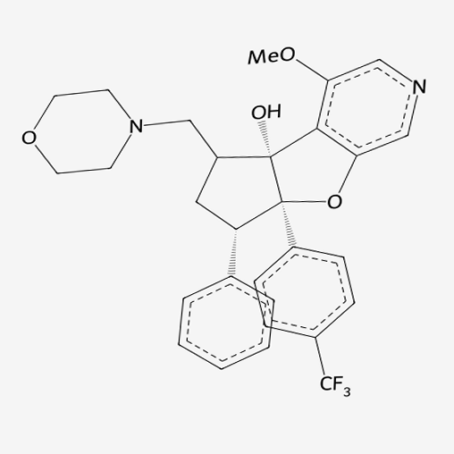 COc1cncc2c1[C@]1(O)C(CN3CCOCC3)C[C@@H](c3ccccc3)[C@]1(c1ccc(C(F)(F)F)cc1)O2